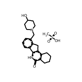 CS(=O)(=O)O.O=c1[nH]c2c(c3c1CCCC3)Cc1c(CN3CCC(O)CC3)cccc1-2